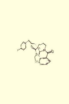 CCOC(=O)[C@@]1(CC=Cc2ccc(F)cc2)CCCN(C(=O)c2ccccc2)C1=O